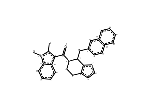 Cc1c(C(=O)N2CCc3ccsc3C2Cc2ccc3ccccc3c2)c2ccccc2n1C